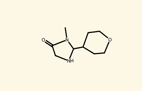 CN1C(=O)CNC1C1CCOCC1